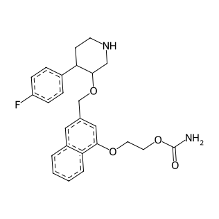 NC(=O)OCCOc1cc(COC2CNCCC2c2ccc(F)cc2)cc2ccccc12